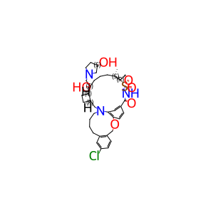 C[C@@H]1[C@@H](C)CCC[C@@](O)(CN2CC[C@H](O)C2)[C@@H]2CC[C@H]2CN2CCCCc3cc(Cl)ccc3COc3ccc(cc32)C(=O)NS1(=O)=O